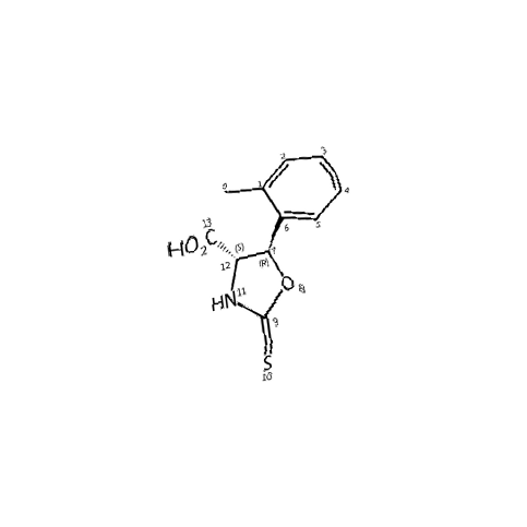 Cc1ccccc1[C@H]1OC(=S)N[C@@H]1C(=O)O